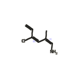 C=C/C(Cl)=C\C(C)=C/N